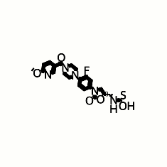 COc1ccc(C(=O)N2CCN(c3ccc(N4C[C@H](CNC(O)=S)OC4=O)cc3F)CC2)cn1